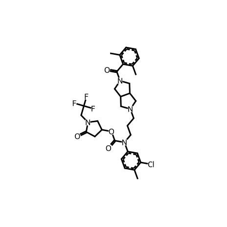 Cc1ccc(N(CCCN2CC3CN(C(=O)c4c(C)cccc4C)CC3C2)C(=O)OC2CC(=O)N(CC(F)(F)F)C2)cc1Cl